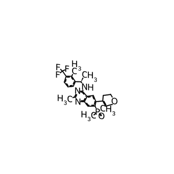 Cc1nc(N[C@H](C)c2cccc(C(F)(F)F)c2C)c2cc(C3=CCOCC3)c(P(C)(C)=O)cc2n1